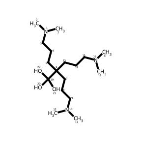 CN(C)CCCC(CCCN(C)C)(CCCN(C)C)C(O)(O)O